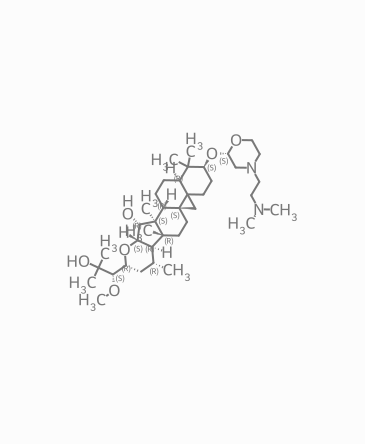 CO[C@@H]([C@H]1C[C@@H](C)[C@H]2[C@H](O1)[C@H](O)[C@@]1(C)[C@@H]3CC[C@H]4C(C)(C)[C@@H](O[C@H]5CN(CCN(C)C)CCO5)CCC45C[C@@]35CC[C@]21C)C(C)(C)O